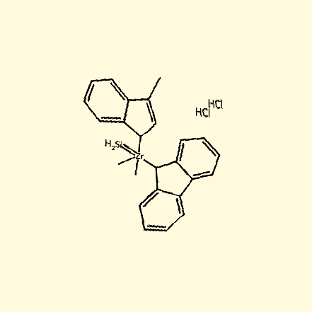 CC1=C[CH]([Zr]([CH3])([CH3])(=[SiH2])[CH]2c3ccccc3-c3ccccc32)c2ccccc21.Cl.Cl